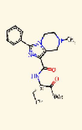 CNC(=O)[C@H](CC(C)C)NC(=O)c1nc(-c2ccccc2)n2c1CN(C)CC2